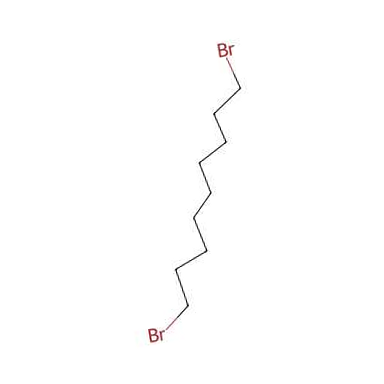 BrCCCCCCCCCBr